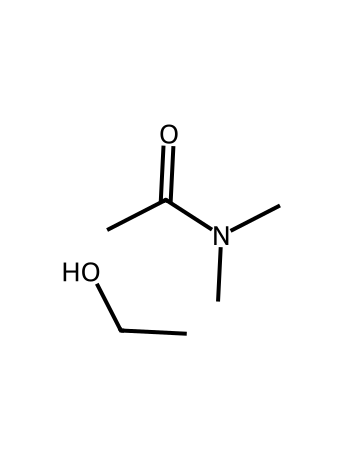 CC(=O)N(C)C.CCO